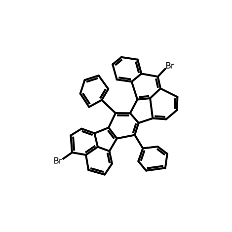 Brc1ccc2c3c(-c4ccccc4)c4c(c(-c5ccccc5)c3c3cccc1c32)c1cccc2c(Br)c3ccccc3c4c21